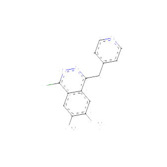 COc1cc2c(Cl)nnc(Cc3ccncc3)c2cc1OC